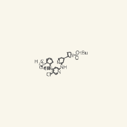 CC(C)(C)OC(=O)N1CCC(c2ccnc(Nc3cc(Nc4ccccc4P(C)(C)=O)c(Cl)cn3)c2)C1